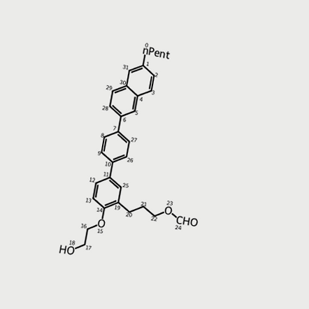 CCCCCc1ccc2cc(-c3ccc(-c4ccc(OCCO)c(CCCOC=O)c4)cc3)ccc2c1